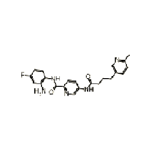 Cc1ccc(CCCC(=O)Nc2ccc(C(=O)Nc3ccc(F)cc3N)nc2)cn1